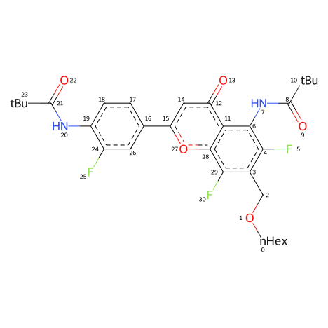 CCCCCCOCc1c(F)c(NC(=O)C(C)(C)C)c2c(=O)cc(-c3ccc(NC(=O)C(C)(C)C)c(F)c3)oc2c1F